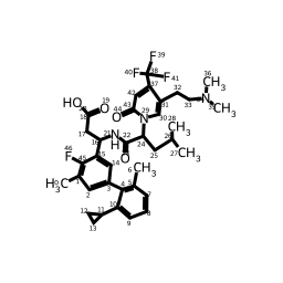 Cc1cc(-c2c(C)cccc2C2CC2)cc(C(CC(=O)O)NC(=O)C(CC(C)C)n2cc(CCN(C)C)c(C(F)(F)F)cc2=O)c1F